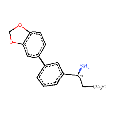 CCOC(=O)C[C@H](N)c1cccc(-c2ccc3c(c2)OCO3)c1